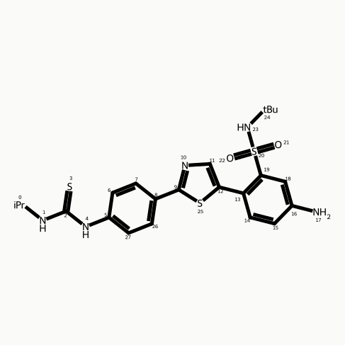 CC(C)NC(=S)Nc1ccc(-c2ncc(-c3ccc(N)cc3S(=O)(=O)NC(C)(C)C)s2)cc1